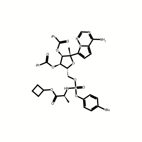 CC(C)C(=O)O[C@H]1[C@@H](OC(=O)C(C)C)[C@](C)(c2ccc3c(N)ncnn23)O[C@@H]1COP(=O)(N[C@@H](C)C(=O)OC1CCC1)Oc1ccc(C(C)(C)C)cc1